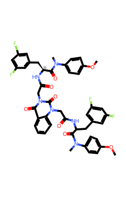 COc1ccc(N(C)C(=O)C(Cc2cc(F)cc(F)c2)NC(=O)Cn2c(=O)n(CC(=O)N[C@@H](Cc3cc(F)cc(F)c3)C(=O)N(C)c3ccc(OC)cc3)c(=O)c3ccccc32)cc1